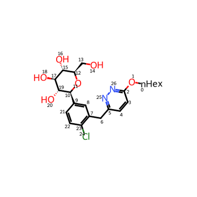 CCCCCCOc1ccc(Cc2cc([C@@H]3O[C@H](CO)[C@@H](O)[C@H](O)[C@H]3O)ccc2Cl)nn1